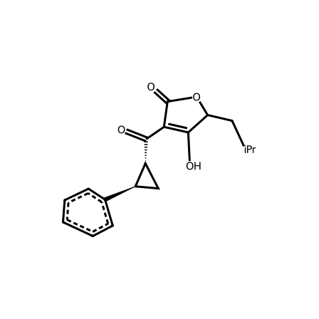 CC(C)CC1OC(=O)C(C(=O)[C@@H]2C[C@H]2c2ccccc2)=C1O